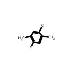 Cc1cc(Cl)c(C)cc1F